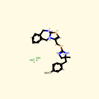 COc1ccc(CC2(C)CN=C(SCC3=CSC4=NCc5ccccc5CN34)N2)cc1.Cl.Cl